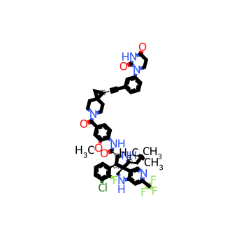 COc1cc(C(=O)N2CCC3(CC2)C[C@@H]3C#Cc2cccc(N3CCC(=O)NC3=O)c2)ccc1NC(=O)[C@@H]1N[C@@H](CC(C)(C)C)[C@@]2(CNc3cc(C(F)(F)F)ncc32)[C@H]1c1cccc(Cl)c1F